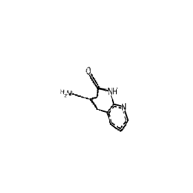 NC1Cc2cccnc2NC1=O